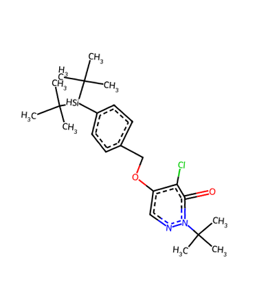 CC(C)(C)n1ncc(OCc2ccc([SiH](C(C)(C)C)C(C)(C)C)cc2)c(Cl)c1=O